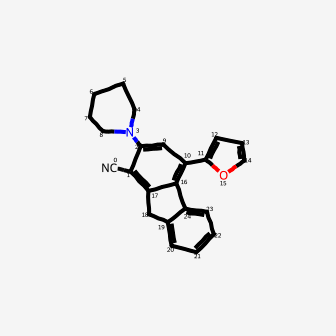 N#Cc1c(N2CCCCC2)cc(-c2ccco2)c2c1Cc1ccccc1-2